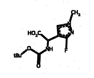 Cn1cc(C(NC(=O)OC(C)(C)C)C(=O)O)c(F)n1